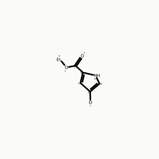 CCOC(=O)c1cc([O])c[nH]1